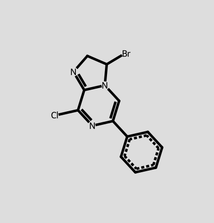 ClC1=NC(c2ccccc2)=CN2C1=NCC2Br